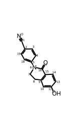 N#Cc1ccc(N2CCc3cc(O)ccc3C2=O)cc1